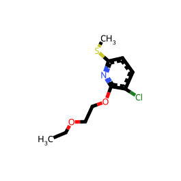 CCOCCOc1nc(SC)ccc1Cl